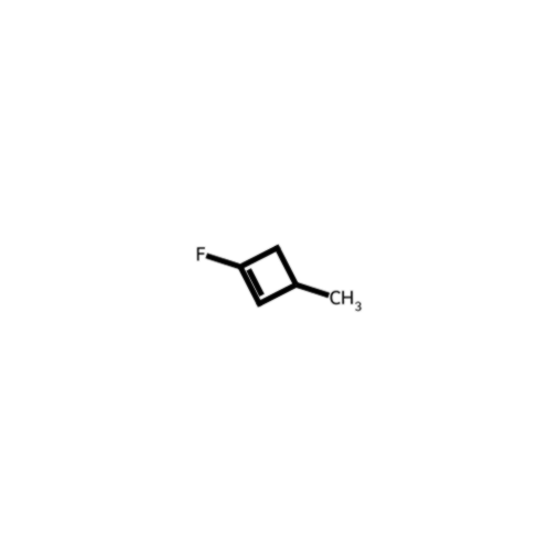 CC1C=C(F)C1